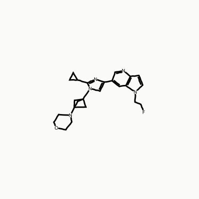 FCCn1ccc2ncc(-c3cn(C45CC(N6CCOCC6)(C4)C5)c(C4CC4)n3)cc21